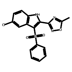 Cc1nc(-c2[nH]c3ccc(Cl)cc3c2S(=O)(=O)c2ccccc2)no1